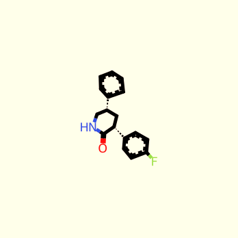 O=C1NC[C@H](c2ccccc2)C[C@@H]1c1ccc(F)cc1